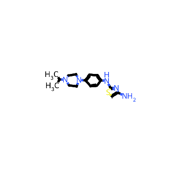 CC(C)N1CCN(c2ccc(Nc3nc(N)[c]s3)cc2)CC1